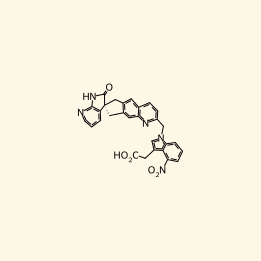 O=C(O)Cc1cn(Cc2ccc3cc4c(cc3n2)C[C@@]2(C4)C(=O)Nc3ncccc32)c2cccc([N+](=O)[O-])c12